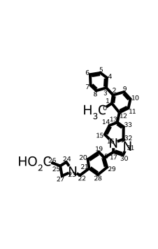 Cc1c(-c2ccccc2)cccc1-c1ccn2c(-c3ccc(CN4CC(C(=O)O)C4)cc3)cnc2c1